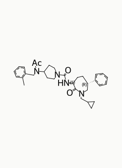 CC(=O)N(Cc1ccccc1C)C1CCN(C(=O)N[C@H]2CC[C@H](c3ccccc3)CN(CC3CC3)C2=O)CC1